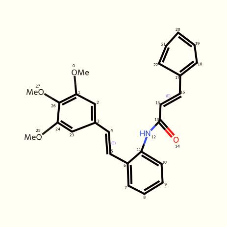 COc1cc(/C=C/c2ccccc2NC(=O)/C=C/c2ccccc2)cc(OC)c1OC